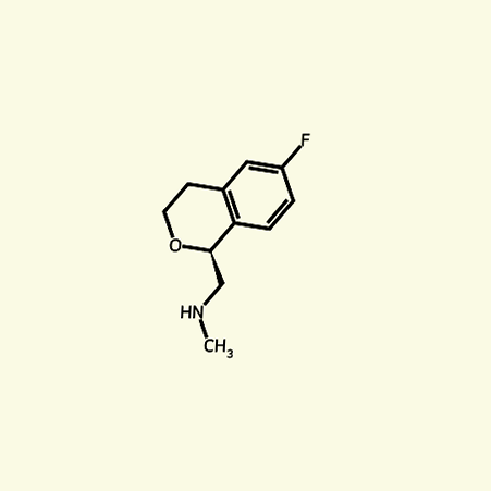 CNC[C@H]1OCCc2cc(F)ccc21